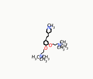 C[n+]1ccc(/C=C/c2ccc(OCCC[N+](C)(C)C)c(OCCC[N+](C)(C)C)c2)cc1